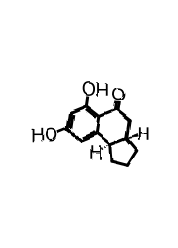 O=C1C[C@@H]2CCC[C@H]2c2cc(O)cc(O)c21